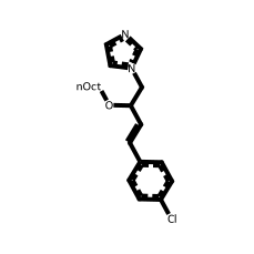 CCCCCCCCOC(C=Cc1ccc(Cl)cc1)Cn1ccnc1